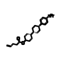 C=CCCC(=O)O[C@H]1CC[C@H]([C@H]2CC[C@H](c3ccc(CCC)cc3)CC2)CC1